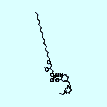 CCCCCCCCCCCCCCCCOCC(COP(=O)(O)Oc1cccc(CN2C=CN(CC)C2)c1)OC